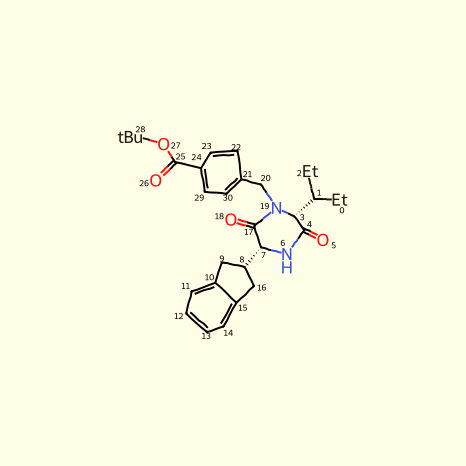 CCC(CC)[C@@H]1C(=O)N[C@H](C2Cc3ccccc3C2)C(=O)N1Cc1ccc(C(=O)OC(C)(C)C)cc1